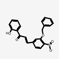 O=C(C=Cc1ccc([N+](=O)[O-])c(OCc2ccccc2)c1)c1ccccc1O